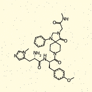 CNC(=O)CN1CN(c2ccccc2)C2(CCN(C(=O)[C@@H](Cc3ccc(OC)cc3)NC(=O)[C@@H](N)Cc3cncn3C)CC2)C1=O